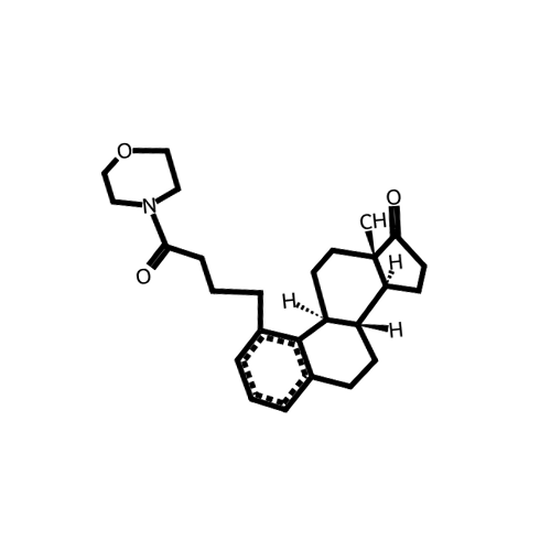 C[C@]12CC[C@@H]3c4c(CCCC(=O)N5CCOCC5)cccc4CC[C@H]3[C@@H]1CCC2=O